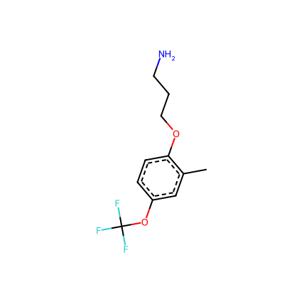 Cc1cc(OC(F)(F)F)ccc1OCCCN